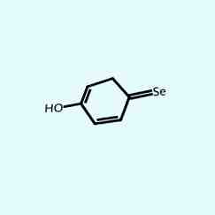 OC1=CCC(=[Se])C=C1